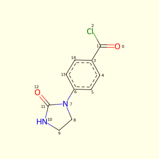 O=C(Cl)c1ccc(N2CCNC2=O)cc1